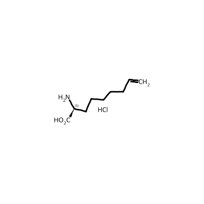 C=CCCCCC[C@H](N)C(=O)O.Cl